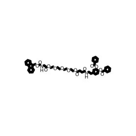 O=C(CCC(=O)OCCOCCOCCOCCOC(=O)CNC(=O)OCC1c2ccccc2-c2ccccc21)NCCc1ccc(OC(=O)c2ccccc2)c(OC(=O)c2ccccc2)c1